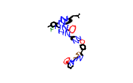 Cc1ccc(-n2nc(CC(C)C)cc2NC(=O)Nc2cnc(Oc3ccc(-c4cnc(N5CCCC5=O)s4)cc3)nc2)c(C)c1F